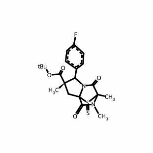 CN1C(=O)C23C[C@](C)(C(=O)OC(C)(C)C)C(c4ccc(F)cc4)N2C(=O)C1(C)S3=S